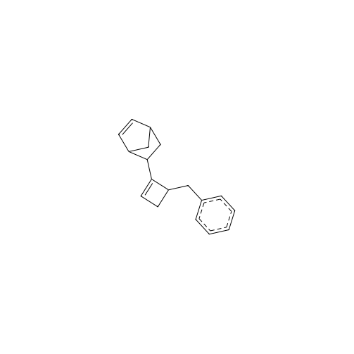 C1=CC2CC1CC2C1=CCC1Cc1ccccc1